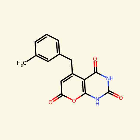 Cc1cccc(Cc2cc(=O)oc3[nH]c(=O)[nH]c(=O)c23)c1